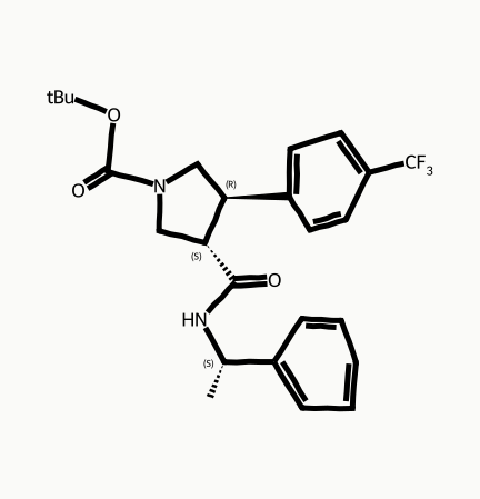 C[C@H](NC(=O)[C@@H]1CN(C(=O)OC(C)(C)C)C[C@H]1c1ccc(C(F)(F)F)cc1)c1ccccc1